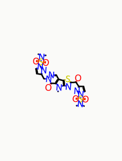 CN(C)S(=O)(=O)n1ccc(Cn2ncc3c4sc(C(=O)c5ccn(S(=O)(=O)N(C)C)n5)nc4n(C)c3c2=O)n1